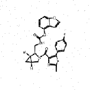 Cc1nc(C(=O)N2C[C@@H]3C[C@@H]3[C@H]2CNC(=O)Oc2cccc3occc23)c(-c2ccc(F)cc2)s1